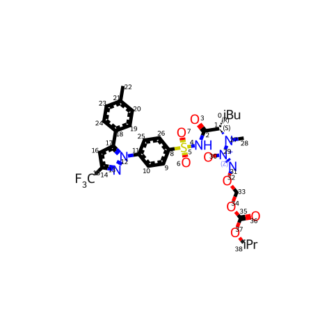 CC[C@@H](C)[C@@H](C(=O)NS(=O)(=O)c1ccc(-n2nc(C(F)(F)F)cc2-c2ccc(C)cc2)cc1)N(C)/[N+]([O-])=N/OCOC(=O)OC(C)C